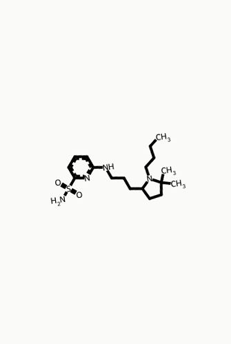 CCCCN1C(CCCNc2cccc(S(N)(=O)=O)n2)CCC1(C)C